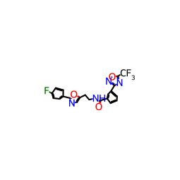 O=C(NCCc1cnc(-c2ccc(F)cc2)o1)c1cccc(-c2noc(C(F)(F)F)n2)c1